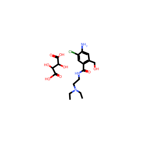 CCN(CC)CCNC(=O)c1cc(Cl)c(N)cc1CO.O=C(O)C(O)C(O)C(=O)O